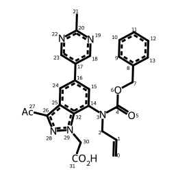 C=CCN(C(=O)OCc1ccccc1)c1cc(-c2cnc(C)nc2)cc2c(C(C)=O)nn(CC(=O)O)c12